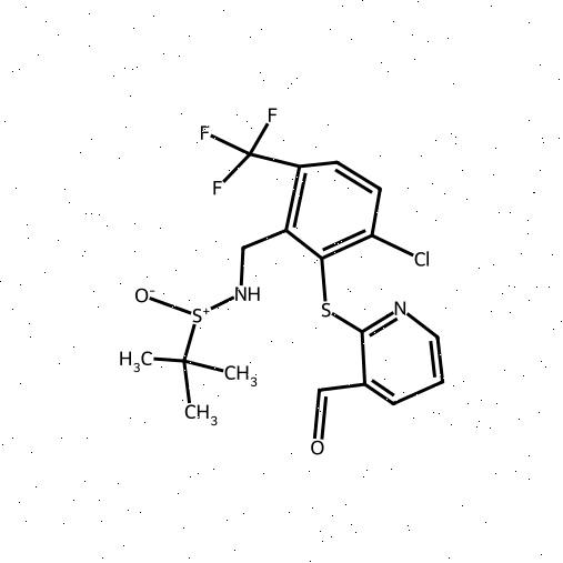 CC(C)(C)[S+]([O-])NCc1c(C(F)(F)F)ccc(Cl)c1Sc1ncccc1C=O